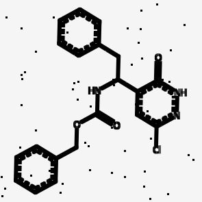 O=C(NC(Cc1ccccc1)c1cc(Cl)n[nH]c1=O)OCc1ccccc1